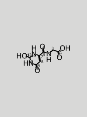 O=C(O)CNC(=O)C1=CC(=O)NC(O)N1